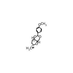 C=C[C@@H]1CC[C@@H]2OC(c3ccc(OC)cc3)OC[C@H]2O1